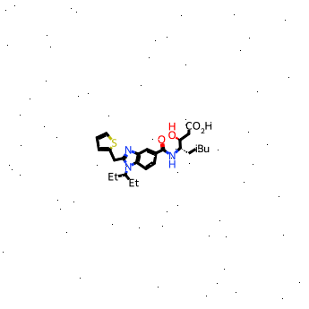 CCC(C)C[C@H](NC(=O)c1ccc2c(c1)nc(Cc1cccs1)n2C(CC)CC)[C@@H](O)CC(=O)O